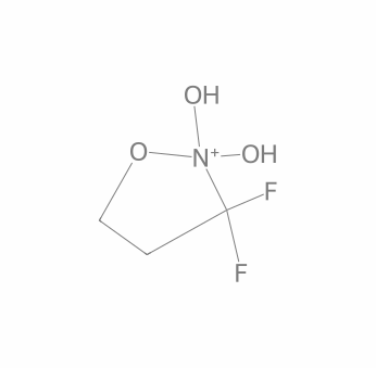 O[N+]1(O)OCCC1(F)F